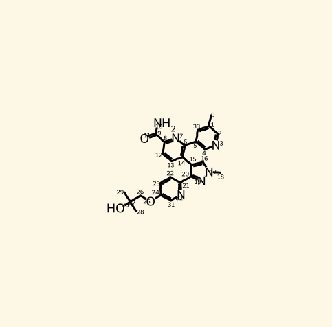 Cc1cncc(-c2nc(C(N)=O)ccc2-c2cn(C)nc2-c2ccc(OCC(C)(C)O)cn2)c1